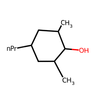 CCCC1CC(C)C(O)C(C)C1